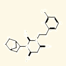 O=C1CC(=O)N(C2CC3CCC2C3)C(=O)N1CCc1cccc(Cl)c1